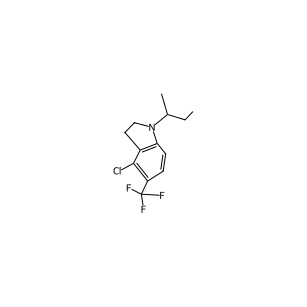 CCC(C)N1CCc2c1ccc(C(F)(F)F)c2Cl